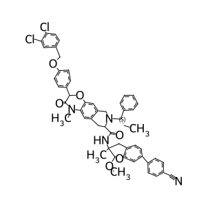 CC[C@@H](c1ccccc1)N1Cc2cc3c(cc2CC1C(=O)NC(C)(Cc1ccc(-c2ccc(C#N)cc2)cc1)C(=O)OC)N(C)C(=O)C(c1ccc(OCc2ccc(Cl)c(Cl)c2)cc1)O3